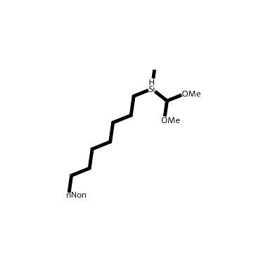 CCCCCCCCCCCCCCCC[SiH](C)C(OC)OC